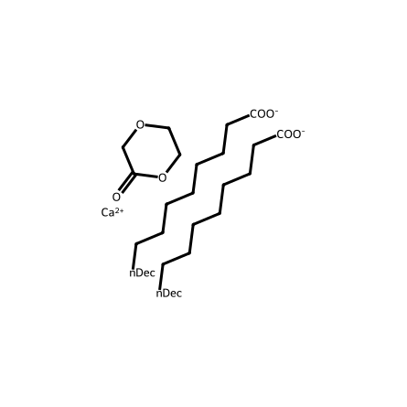 CCCCCCCCCCCCCCCCCC(=O)[O-].CCCCCCCCCCCCCCCCCC(=O)[O-].O=C1COCCO1.[Ca+2]